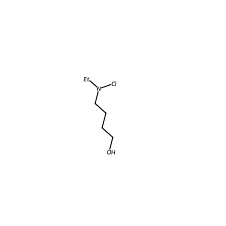 CCN(Cl)CCCCO